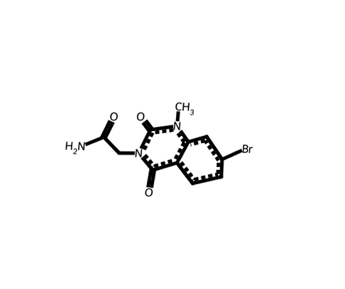 Cn1c(=O)n(CC(N)=O)c(=O)c2ccc(Br)cc21